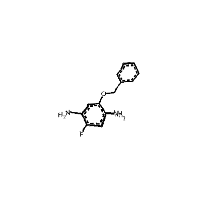 Nc1cc(OCc2ccccc2)c(N)cc1F